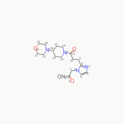 O=NC(=O)Cn1ccnc1CCC(=O)N1CCC(N2CCOCC2)CC1